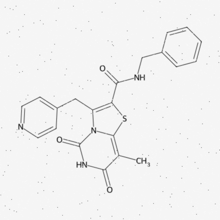 Cc1c(=O)[nH]c(=O)n2c(Cc3ccncc3)c(C(=O)NCc3ccccc3)sc12